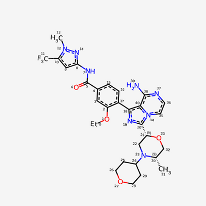 CCOc1cc(C(=O)Nc2cc(C(F)(F)F)n(C)n2)ccc1-c1nc([C@H]2CN(C3CCOCC3)[C@@H](C)CO2)n2ccnc(N)c12